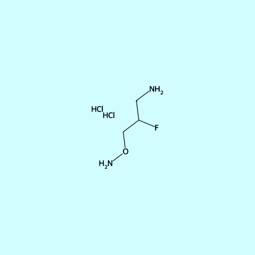 Cl.Cl.NCC(F)CON